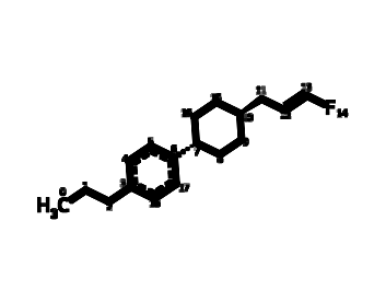 CCCc1ccc([C@H]2CC[C@H](CC=CF)CC2)cc1